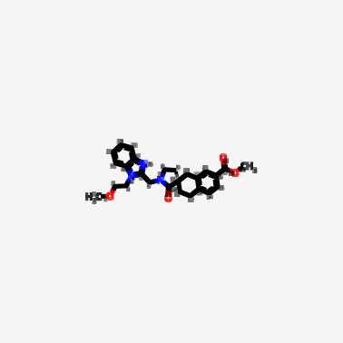 COCCn1c(CN2CC[C@]3(CCc4ccc(C(=O)OC)cc4C3)C2=O)nc2ccccc21